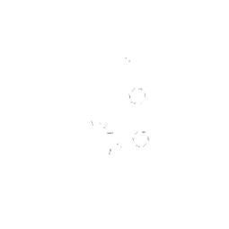 O=C1CCC[C@H](C(=O)N2Cc3cccc(OCc4ccc(C5CCNCC5)cc4)c3C2)C(=O)N1